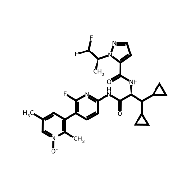 Cc1cc(-c2ccc(NC(=O)[C@@H](NC(=O)c3ccnn3[C@@H](C)C(F)F)C(C3CC3)C3CC3)nc2F)c(C)[n+]([O-])c1